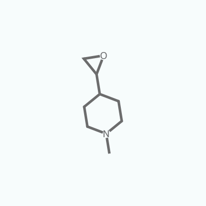 CN1CCC(C2CO2)CC1